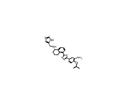 CC(C)Oc1ccc(-c2nnc(-c3cccc4c3CCC[C@@H]4NCc3cnc[nH]3)s2)cc1N